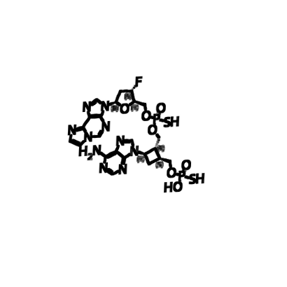 Nc1ncnc2c1ncn2[C@@H]1C[C@H](COP(=O)(O)S)[C@H]1COP(=O)(S)OC[C@H]1O[C@@H](n2cnc3c2ncn2ccnc32)C[C@@H]1F